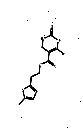 CC1=C(C(=O)OCCc2ccc(C)s2)CNC(=S)N1